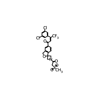 CS(=O)(=O)CC(=O)N1CC2(C1)OCc1cc(C(=O)C=C(c3cc(Cl)cc(Cl)c3)C(F)(F)F)ccc12